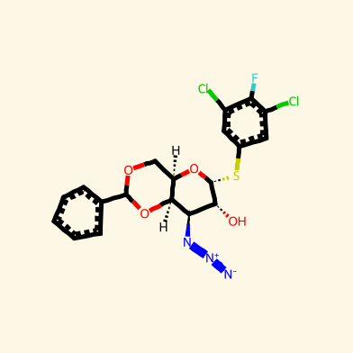 [N-]=[N+]=N[C@@H]1[C@@H](O)[C@@H](Sc2cc(Cl)c(F)c(Cl)c2)O[C@@H]2COC(c3ccccc3)O[C@H]12